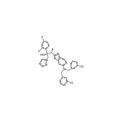 C[C@@H](n1cc2cc(N(Cc3cccc(Cl)c3)Cc3cccc(Cl)c3)ccc2n1)[C@](O)(Cn1cncn1)c1ccc(F)cc1F